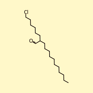 CCCCCCCCCCCC(C=O)CCCCCCCl